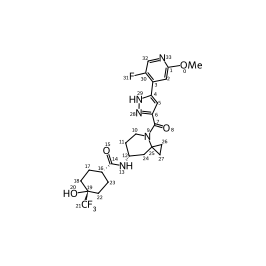 COc1cc(-c2cc(C(=O)N3CC[C@@H](NC(=O)[C@H]4CC[C@](O)(C(F)(F)F)CC4)CC34CC4)n[nH]2)c(F)cn1